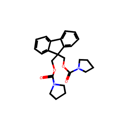 O=C(OCC1(COC(=O)N2CCCC2)c2ccccc2-c2ccccc21)N1CCCC1